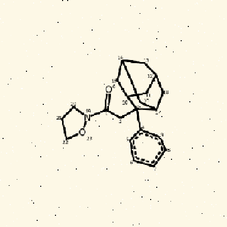 O=C(CC1(c2ccccc2)C2CC3CC(C2)CC1C3)N1CCCO1